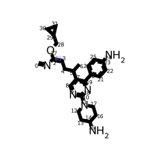 C=N/C(=C\CC(C)c1cnc(N2CCC(N)CC2)nc1-c1ccc(N)cc1)OCC1CC1